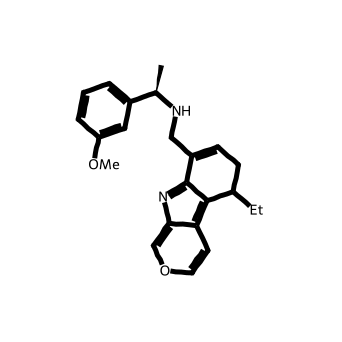 CCC1CC=C(CN[C@H](C)c2cccc(OC)c2)c2nc3coccc-3c21